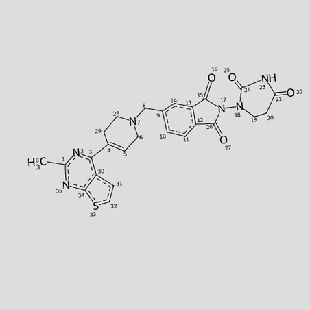 Cc1nc(C2=CCN(Cc3ccc4c(c3)C(=O)N(N3CCC(=O)NC3=O)C4=O)CC2)c2ccsc2n1